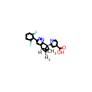 CC1(C)[C@H]2CC[C@@]1(c1cc(C(=O)O)ccn1)c1nnc(-c3c(F)cccc3F)cc12